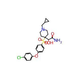 NC(=O)C(O)C1(S(=O)(=O)c2ccc(Oc3ccc(Cl)cc3)cc2)CCN(CC2CC2)CC1